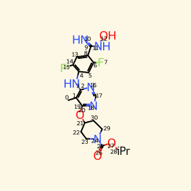 Cc1c(Nc2cc(F)c(C(=N)NO)cc2F)ncnc1OC1CCN(C(=O)OC(C)C)CC1